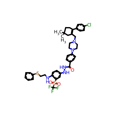 CC1(C)CCC(c2ccc(Cl)cc2)=C(CN2CCN(c3ccc(C(=O)NNc4ccc(NCCSc5ccccc5)c(S(=O)(=O)C(F)(F)F)c4)cc3)CC2)C1